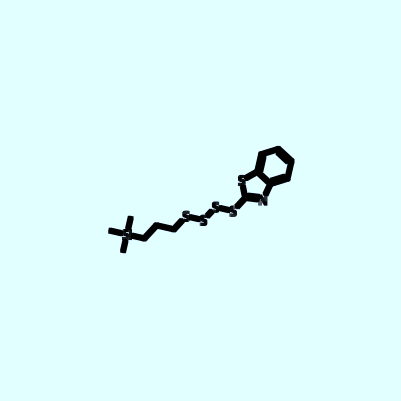 C[Si](C)(C)CCCSSSSc1nc2ccccc2s1